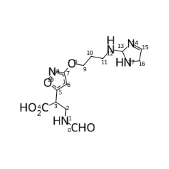 O=CNCC(C(=O)O)c1cc(OCCCNC2N=CCN2)no1